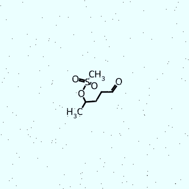 CC(CCC=O)OS(C)(=O)=O